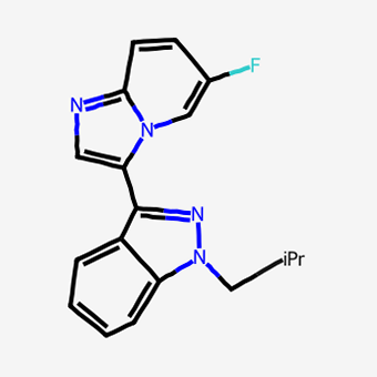 CC(C)Cn1nc(-c2cnc3ccc(F)cn23)c2ccccc21